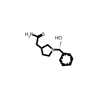 C[C@H](c1ccccc1)N1CCC(CC(N)=S)C1.Cl